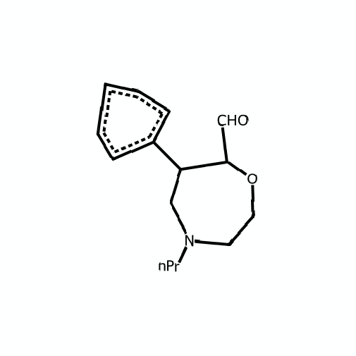 CCCN1CCOC(C=O)C(c2ccccc2)C1